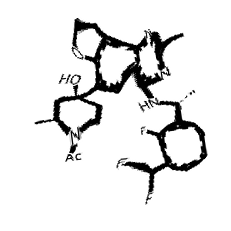 CC(=O)N1CC[C@@](O)(c2cc3c(N[C@H](C)c4cccc(C(F)F)c4F)nc(C)nc3c3c2OCC3)C[C@@H]1C